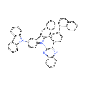 c1ccc2cc3c(cc2c1)c1cc(-n2c4ccccc4c4ccccc42)ccc1n3-c1nc2ccccc2nc1-c1ccc(-c2cccc3ccccc23)cc1